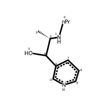 CCCN[C@@H](C)C(O)c1cccnc1